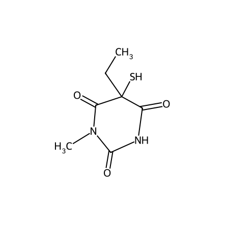 CCC1(S)C(=O)NC(=O)N(C)C1=O